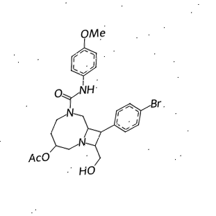 COc1ccc(NC(=O)N2CCC(OC(C)=O)CN3C(CO)C(c4ccc(Br)cc4)C3C2)cc1